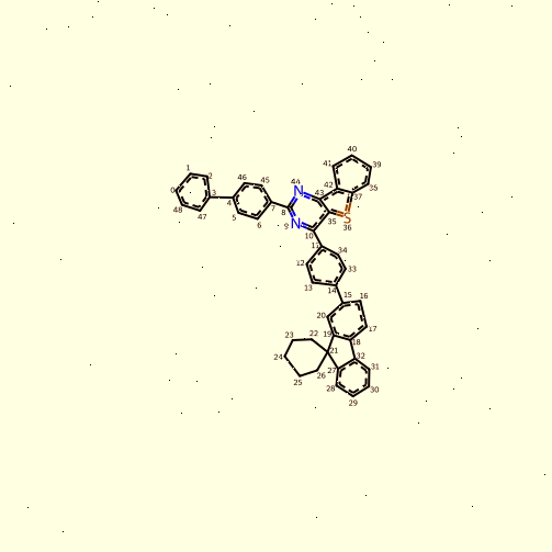 c1ccc(-c2ccc(-c3nc(-c4ccc(-c5ccc6c(c5)C5(CCCCC5)c5ccccc5-6)cc4)c4sc5ccccc5c4n3)cc2)cc1